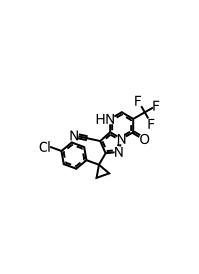 N#Cc1c(C2(c3ccc(Cl)cc3)CC2)nn2c(=O)c(C(F)(F)F)c[nH]c12